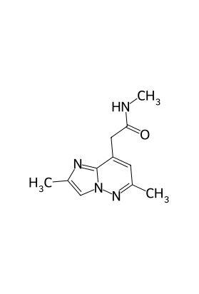 CNC(=O)Cc1cc(C)nn2cc(C)nc12